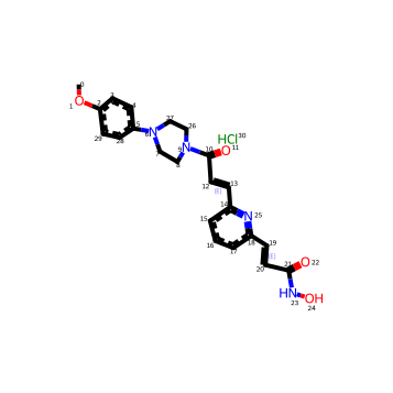 COc1ccc(N2CCN(C(=O)/C=C/c3cccc(/C=C/C(=O)NO)n3)CC2)cc1.Cl